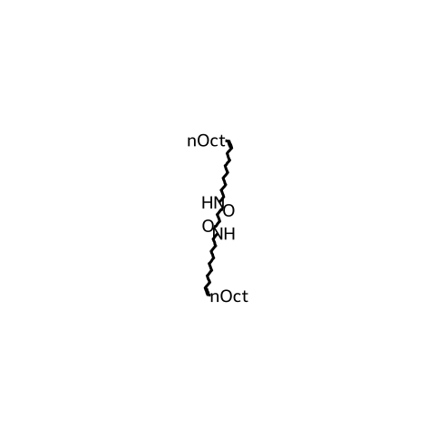 CCCCCCCC/C=C\CCCCCCCCNC(=O)CCC(=O)NCCCCCCCC/C=C\CCCCCCCC